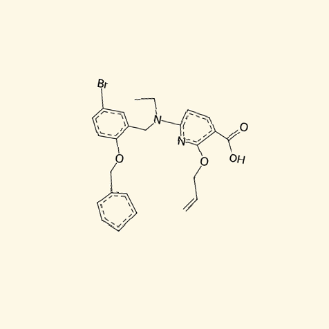 C=CCOc1nc(N(CC)Cc2cc(Br)ccc2OCc2ccccc2)ccc1C(=O)O